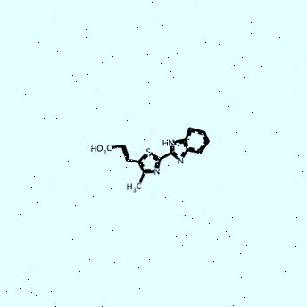 Cc1nc(-c2nc3ccccc3[nH]2)sc1C=CC(=O)O